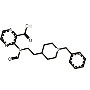 O=CN(CCC1CCN(Cc2ccccc2)CC1)c1nccnc1C(=O)O